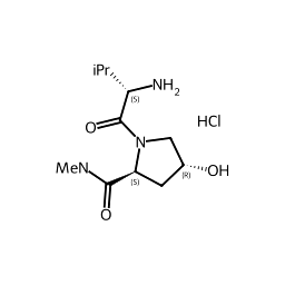 CNC(=O)[C@@H]1C[C@@H](O)CN1C(=O)[C@@H](N)C(C)C.Cl